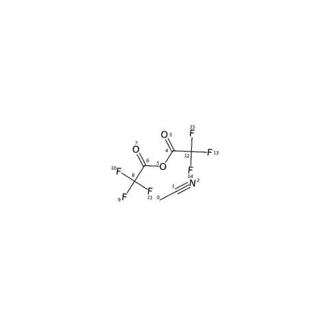 CC#N.O=C(OC(=O)C(F)(F)F)C(F)(F)F